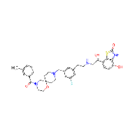 Cc1cccc(C(=O)N2CCOC3(CCN(Cc4cc(F)cc(CCNC[C@H](O)c5ccc(O)c6[nH]c(=O)sc56)c4)CC3)C2)c1